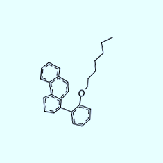 CCCCCCCOc1ccccc1-c1cccc2c1ccc1ccccc12